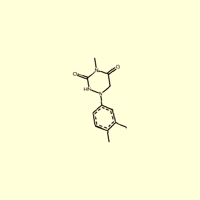 Cc1ccc(N2CC(=O)N(C)C(=O)N2)cc1C